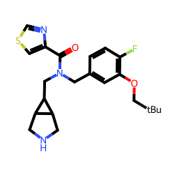 CC(C)(C)COc1cc(CN(CC2C3CNCC32)C(=O)c2cscn2)ccc1F